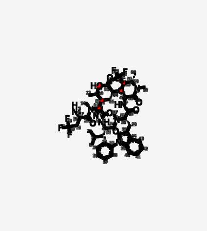 CC(C)C[C@H](NC(=O)[C@H](CC(C)C)N(C)C(=O)[C@@H](N)CC(F)(F)F)C(=O)N(C)[C@@H](Cc1cn(-c2ccccc2)c2ccccc12)C(=O)N[C@@H](CCC(F)(F)F)C(=O)N(C)[C@@H](C)C(=O)O[C@H](CCC#N)C(=O)O